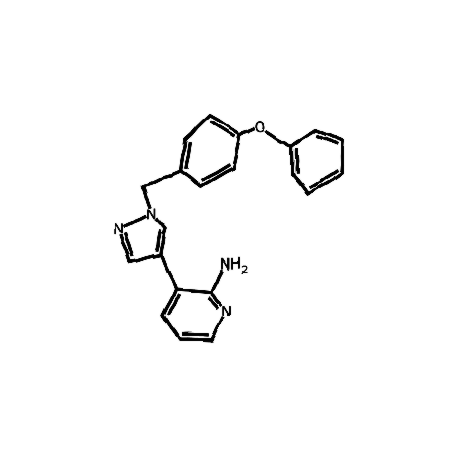 Nc1ncccc1-c1cnn(Cc2ccc(Oc3ccccc3)cc2)c1